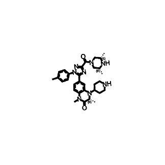 Cc1ccc(-n2nc(C(=O)N3C[C@@H](C)N[C@@H](C)C3)nc2-c2ccc3c(c2)N(C2CCNCC2)[C@H](C)C(=O)N3C)cc1